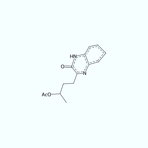 CC(=O)OC(C)CCc1nc2ccccc2[nH]c1=O